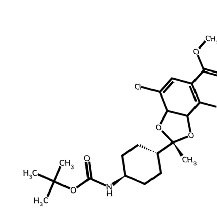 COC(=O)C1=C(C)C2O[C@](C)([C@H]3CC[C@H](NC(=O)OC(C)(C)C)CC3)OC2C(Cl)=C1